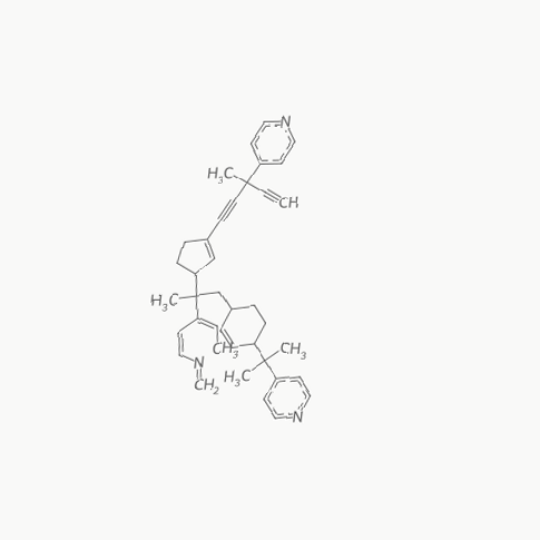 C#CC(C)(C#CC1=CC(C(C)(CC2C=CC(C(C)(C)c3ccncc3)CC2)C(/C=C\N=C)=C/C)CC1)c1ccncc1